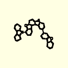 c1ccc2c(c1)oc1cc(-c3ccc4sc5ccc6oc7c(-n8c9ccccc9c9ccccc98)cccc7c6c5c4c3)ccc12